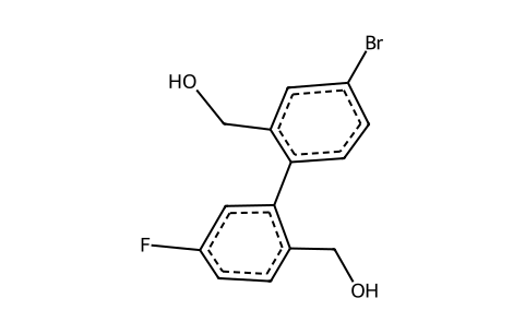 OCc1cc(Br)ccc1-c1cc(F)ccc1CO